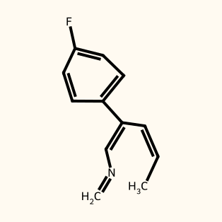 C=N/C=C(\C=C/C)c1ccc(F)cc1